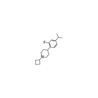 CC(C)c1ccc(C2CCN(C3CCC3)CC2)c(F)c1